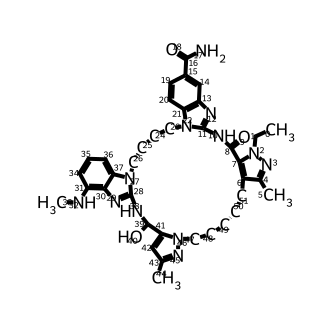 CCn1nc(C)c2c1C(=O)Nc1nc3cc(C(N)=O)ccc3n1CCCCn1c(nc3c(NC)cccc31)NC(O)c1cc(C)nn1CCCCC2